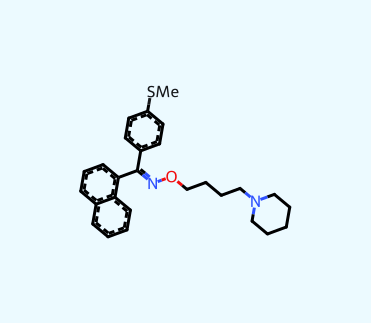 CSc1ccc(C(=NOCCCCN2CCCCC2)c2cccc3ccccc23)cc1